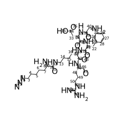 [N-]=[N+]=NCCCCC[C@@H](N)C(=O)NCCCC[C@H](NC(=O)[C@@H](Cc1ccccc1)NC(=O)[C@H](CC(=O)O)NC(=O)CN)C(=O)N[C@H](C=O)CCCNC(=N)N